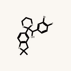 CC1(C)Cc2cc(C3(C(O)c4ccc(F)c(Br)c4)SCCCS3)ccc2O1